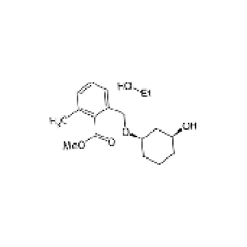 CCO.COC(=O)c1c(C)cccc1CO[C@@H]1CCC[C@H](O)C1